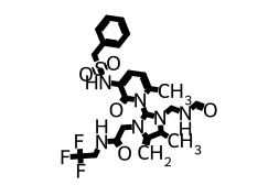 C=C1C(C)N(CNC=O)C(n2c(C)ccc(NS(=O)(=O)Cc3ccccc3)c2=O)N1CC(=O)NCC(F)(F)F